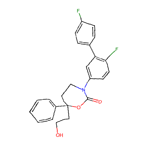 O=C1OC(CCO)(c2ccccc2)CCN1c1ccc(F)c(-c2ccc(F)cc2)c1